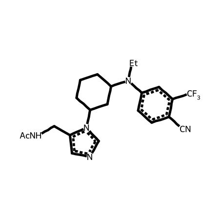 CCN(c1ccc(C#N)c(C(F)(F)F)c1)C1CCCC(n2cncc2CNC(C)=O)C1